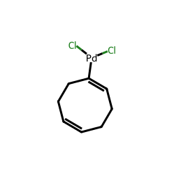 [Cl][Pd]([Cl])[C]1=CCCC=CCC1